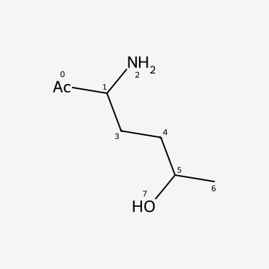 CC(=O)C(N)CCC(C)O